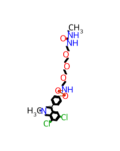 CCNC(=O)NCCOCCOCCOCCNS(=O)(=O)c1ccc([C@@H]2CN(C)Cc3c(Cl)cc(Cl)cc32)cc1